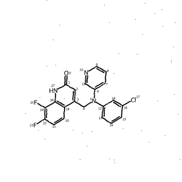 O=c1cc(CN(c2cccnc2)c2cccc(Cl)c2)c2ccc(F)c(F)c2[nH]1